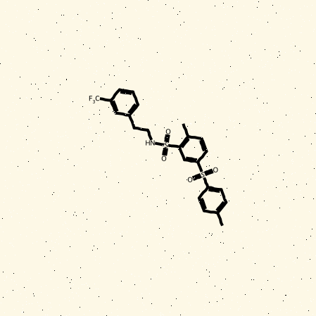 Cc1ccc(S(=O)(=O)c2ccc(C)c(S(=O)(=O)NCCc3cccc(C(F)(F)F)c3)c2)cc1